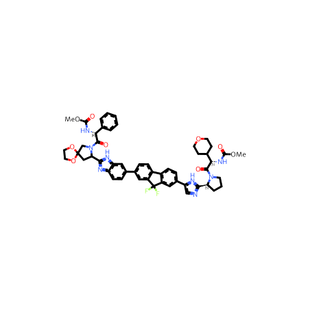 COC(=O)N[C@H](C(=O)N1CCC[C@H]1c1ncc(-c2ccc3c(c2)C(F)(F)c2cc(-c4ccc5nc(C6CC7(CN6C(=O)[C@H](NC(=O)OC)c6ccccc6)OCCO7)[nH]c5c4)ccc2-3)[nH]1)C1CCOCC1